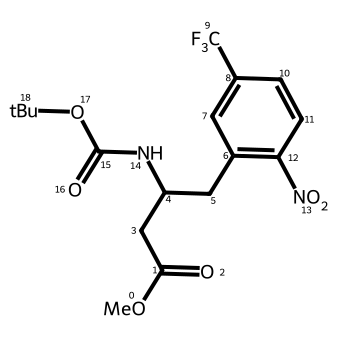 COC(=O)CC(Cc1cc(C(F)(F)F)ccc1[N+](=O)[O-])NC(=O)OC(C)(C)C